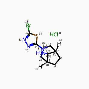 Cl.N[C@@H]1[C@@H]2CC[C@H]1CN(c1nnc(Br)s1)C2